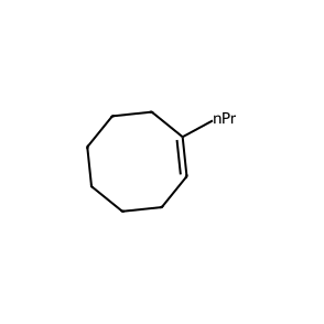 [CH2]CCC1=CCCCCCC1